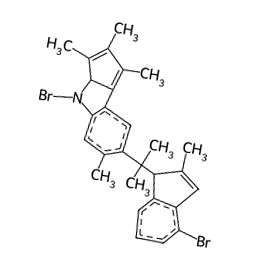 CC1=Cc2c(Br)cccc2C1C(C)(C)c1cc2c(cc1C)N(Br)C1C(C)=C(C)C(C)=C21